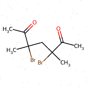 CC(=O)C(C)(Br)CC(C)(Br)C(C)=O